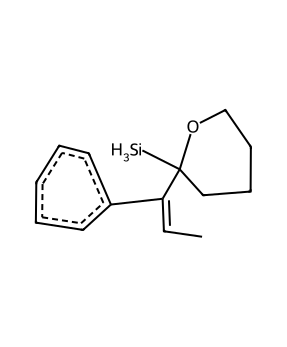 CC=C(c1ccccc1)C1([SiH3])CCCCO1